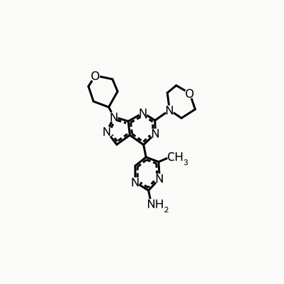 Cc1nc(N)ncc1-c1nc(N2CCOCC2)nc2c1cnn2C1CCOCC1